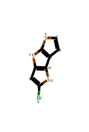 Brc1cc2sc3sccc3c2s1